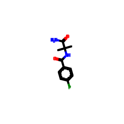 CC(C)(NC(=O)c1ccc(F)cc1)C(N)=O